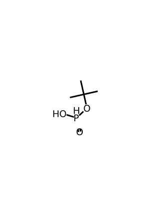 CC(C)(C)O[PH](=O)O